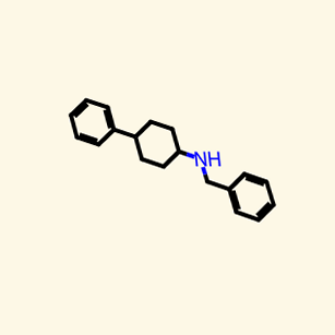 c1ccc(CNC2CCC(c3ccccc3)CC2)cc1